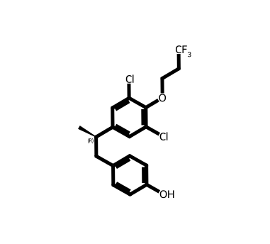 C[C@H](Cc1ccc(O)cc1)c1cc(Cl)c(OCCC(F)(F)F)c(Cl)c1